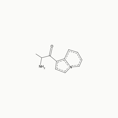 CC(N)C(=O)c1ccn2ccccc12